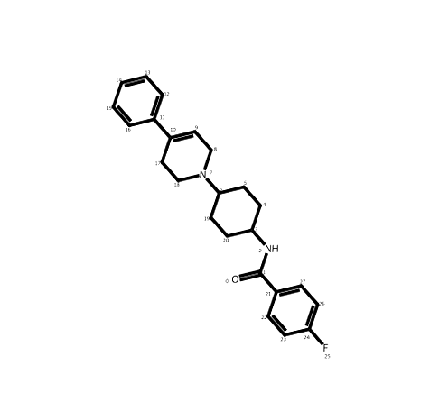 O=C(NC1CCC(N2CC=C(c3ccccc3)CC2)CC1)c1ccc(F)cc1